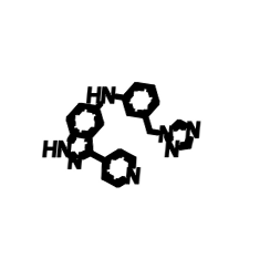 c1cc(Cn2cncn2)cc(Nc2ccc3[nH]nc(-c4ccncc4)c3c2)c1